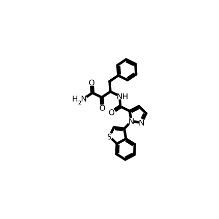 NC(=O)C(=O)C(Cc1ccccc1)NC(=O)c1ccnn1-c1csc2ccccc12